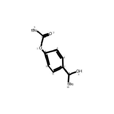 CC(C)(C)C(=O)Oc1ccc(C(O)C(C)(C)C)cc1